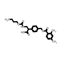 CCCCOC(=O)NCC(C(=O)O)c1ccc(COC(=O)c2ccc(C)cc2C)cc1